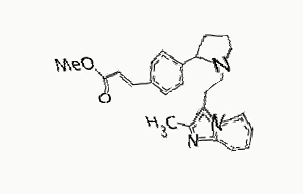 COC(=O)/C=C/c1ccc(C2CCCN2CCc2c(C)nc3ccccn23)cc1